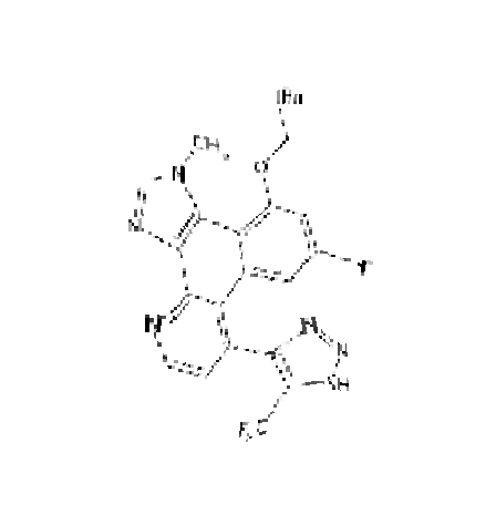 Cn1cnc2c3nccc(-c4nn[nH]c4C(F)(F)F)c3c3cc(F)cc(OCC(C)(C)C)c3c21